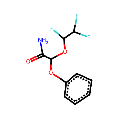 NC(=O)C(Oc1ccccc1)OC(F)C(F)F